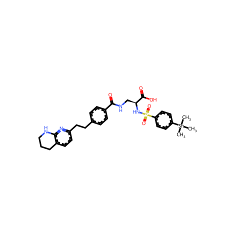 [CH3][Sn]([CH3])([CH3])[c]1ccc(S(=O)(=O)N[C@@H](CNC(=O)c2ccc(CCc3ccc4c(n3)NCCC4)cc2)C(=O)O)cc1